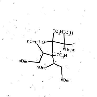 CCCCCCCCCCCC(CCCCCCCC)C(C(=O)O)(C(CCCCCCCC)CCCCCCCCCCC)C(O)(C(=O)O)C(F)(CCCCCCC)C(=O)O